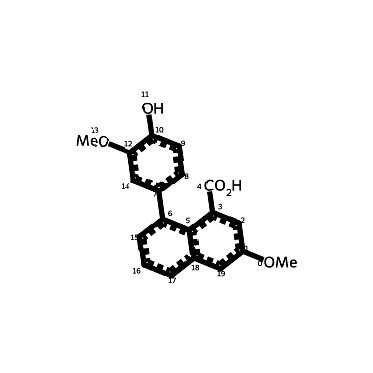 COc1cc(C(=O)O)c2c(-c3ccc(O)c(OC)c3)cccc2c1